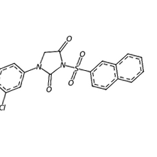 O=C1CN(c2cccc(Cl)c2)C(=O)N1S(=O)(=O)c1ccc2ccccc2c1